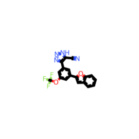 N#Cc1[nH]nnc1-c1cc(OC(F)(F)F)cc(-c2cc3ccccc3o2)c1